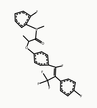 CC(Oc1ccc(C(F)=C(c2ccc(F)cc2)C(F)(F)F)cc1)C(=O)N(C)c1ccccc1F